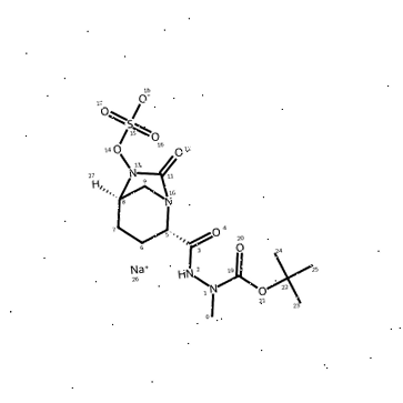 CN(NC(=O)[C@@H]1CC[C@@H]2CN1C(=O)N2OS(=O)(=O)[O-])C(=O)OC(C)(C)C.[Na+]